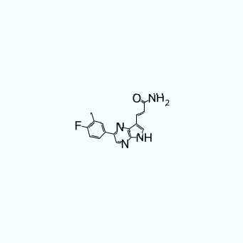 Cc1cc(-c2cnc3[nH]cc(/C=C/C(N)=O)c3n2)ccc1F